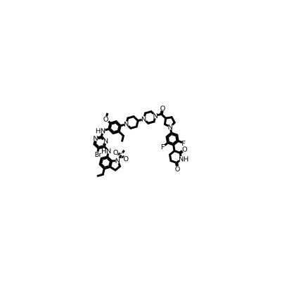 CCc1cc(Nc2ncc(Br)c(Nc3ccc(CC)c4c3N(S(C)(=O)=O)CC4)n2)c(OC)cc1N1CCC(N2CCN(C(=O)C3CCN(c4cc(F)c(C5CCC(=O)NC5=O)c(F)c4)C3)CC2)CC1